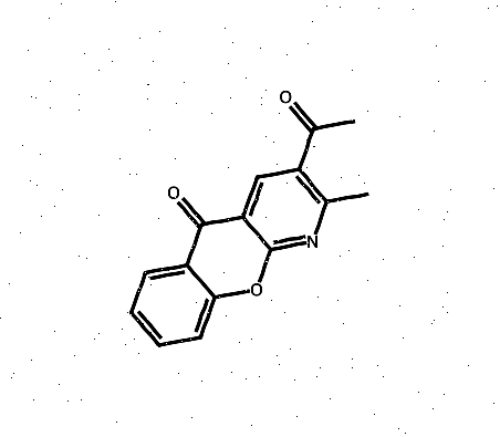 CC(=O)c1cc2c(=O)c3ccccc3oc2nc1C